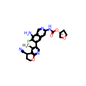 Cc1c(-c2cc3cc(NC(=O)O[C@@H]4CCOC4)ncc3c(N)c2F)cnc2c1C(C#N)CCO2